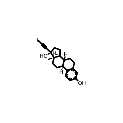 C[C@]12CC[C@@H]3c4ccc(O)cc4CC[C@H]3[C@@H]1CC[C@@]2(O)C#CI